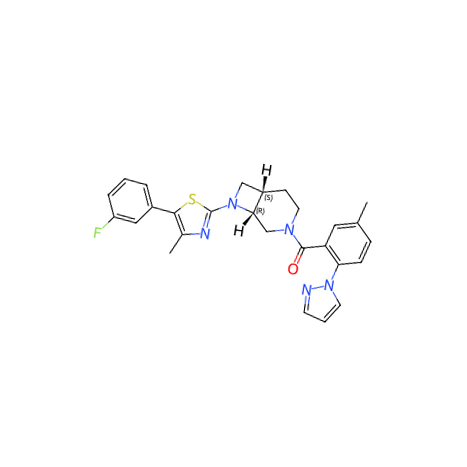 Cc1ccc(-n2cccn2)c(C(=O)N2CC[C@H]3CN(c4nc(C)c(-c5cccc(F)c5)s4)[C@H]3C2)c1